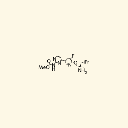 COC(=O)Nc1nccc(-c2cnc(OCC(C)(N)CC(C)C)c(F)c2)n1